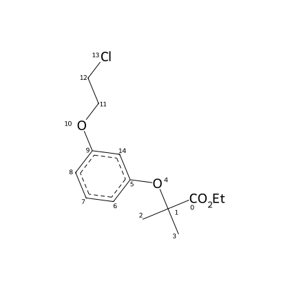 CCOC(=O)C(C)(C)Oc1cccc(OCCCl)c1